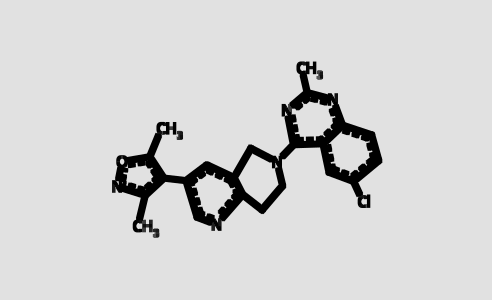 Cc1nc(N2CCc3ncc(-c4c(C)noc4C)cc3C2)c2cc(Cl)ccc2n1